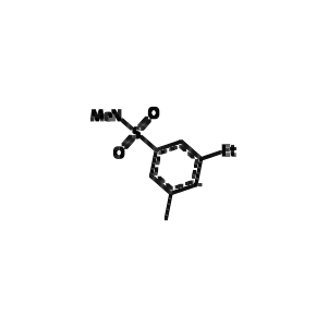 CCc1[c]c(C)cc(S(=O)(=O)NC)c1